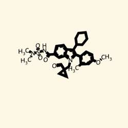 COc1ccc(-c2c(C3CCCCC3)c3ccc(C(=O)NS(=O)(=O)N(C)C)cc3n2CC2(C=O)CC2)c(C)c1